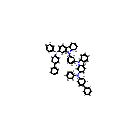 c1ccc(-c2ccc(N(c3ccccc3)c3ccc4c5ccccc5n(-c5cccc(-n6c7ccccc7c7ccc(N(c8ccccc8)c8ccc(-c9ccccc9)cc8)cc76)c5)c4c3)cc2)cc1